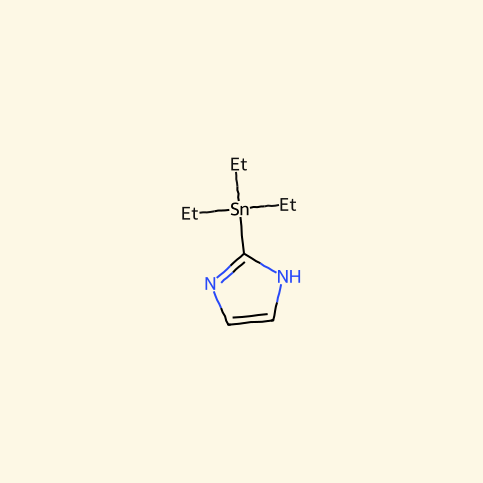 C[CH2][Sn]([CH2]C)([CH2]C)[c]1ncc[nH]1